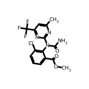 COC(=O)c1cccc(Cl)c1N(C(N)=O)c1nc(C)cc(C(F)(F)F)n1